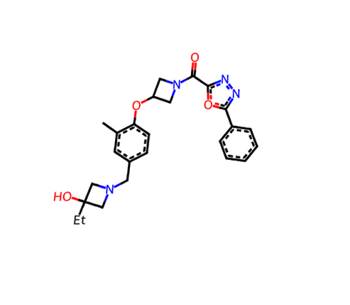 CCC1(O)CN(Cc2ccc(OC3CN(C(=O)c4nnc(-c5ccccc5)o4)C3)c(C)c2)C1